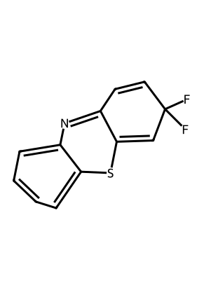 FC1(F)C=CC2=Nc3ccccc3SC2=C1